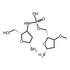 B[C@H]1CC(NP(=O)(O)OC[C@H]2O[C@@H](B)CC2OI)[C@@H](CO)O1